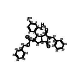 Cc1cc(F)ccc1C1C2C(=O)N(Cc3ccccc3)C(=O)C2CN1C(=O)OCc1ccccc1